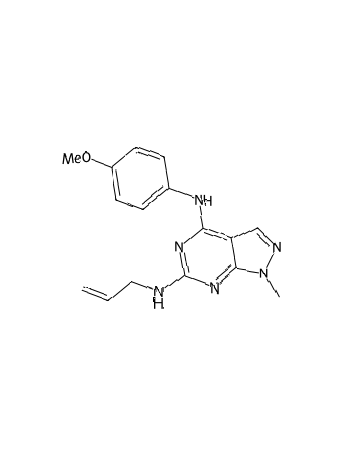 C=CCNc1nc(Nc2ccc(OC)cc2)c2cnn(C)c2n1